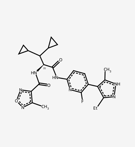 CCc1n[nH]c(C)c1-c1ccc(NC(=O)[C@@H](NC(=O)c2nonc2C)C(C2CC2)C2CC2)nc1F